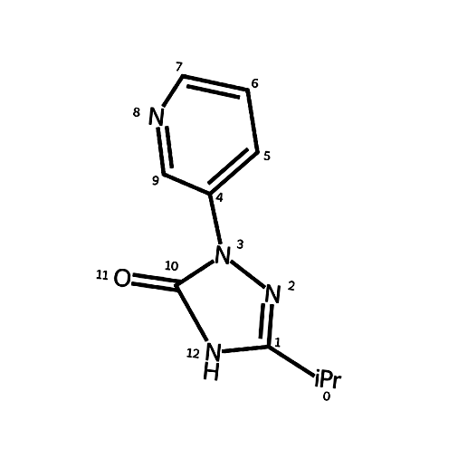 CC(C)c1nn(-c2cccnc2)c(=O)[nH]1